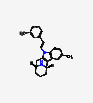 Cc1ccc2c(c1)c1c(n2C=Cc2cccc(C(F)(F)F)c2)C[C@H]2CCC[C@@H]1N2